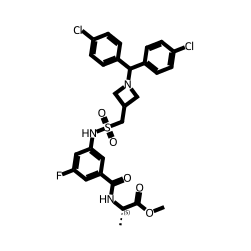 COC(=O)[C@H](C)NC(=O)c1cc(F)cc(NS(=O)(=O)CC2CN(C(c3ccc(Cl)cc3)c3ccc(Cl)cc3)C2)c1